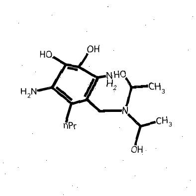 CCCc1c(N)c(O)c(O)c(N)c1CN(C(C)O)C(C)O